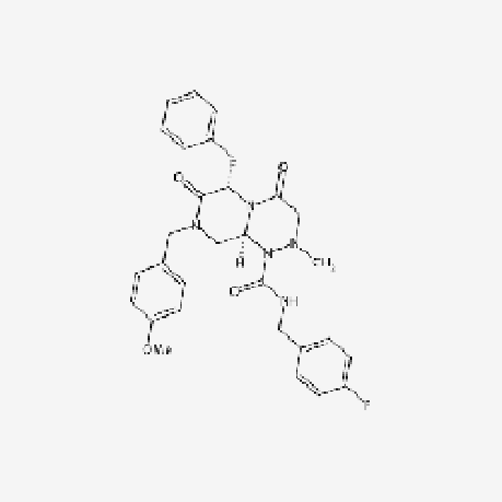 COc1ccc(CN2C[C@H]3N(C(=O)CN(C)N3C(=O)NCc3ccc(F)cc3)[C@@H](Cc3ccccc3)C2=O)cc1